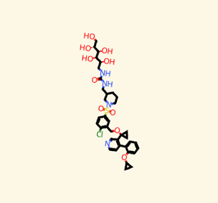 O=C(NCC1CCCN(S(=O)(=O)c2ccc(Cl)c(COC3(c4cnccc4-c4ccccc4OC4CC4)CC3)c2)C1)NC[C@H](O)[C@@H](O)[C@H](O)[C@H](O)CO